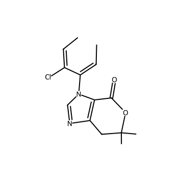 C/C=C(Cl)\C(=C/C)n1cnc2c1C(=O)OC(C)(C)C2